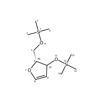 C[Si](C)(C)OC[C@H]1OC=CC1O[Si](C)(C)C